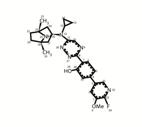 COc1cc(-c2ccc(-c3ncc(N(C4CC4)[C@H]4C[C@]5(C)CC[C@](C)(C4)N5)nn3)c(O)c2)cnc1F